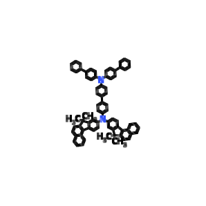 CC1(C)c2cc(N(c3ccc(-c4ccc(N(c5ccc(-c6ccccc6)cc5)c5ccc(-c6ccccc6)cc5)cc4)cc3)c3ccc4c(c3)C(C)(C)c3ccc5ccccc5c3-4)ccc2-c2c1ccc1ccccc21